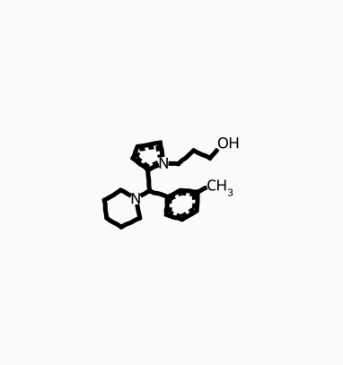 Cc1cccc(C(c2cccn2CCCO)N2CCCCC2)c1